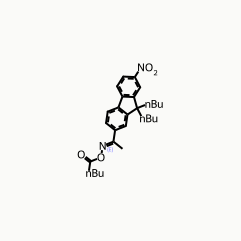 CCCCC(=O)O/N=C(\C)c1ccc2c(c1)C(CCCC)(CCCC)c1cc([N+](=O)[O-])ccc1-2